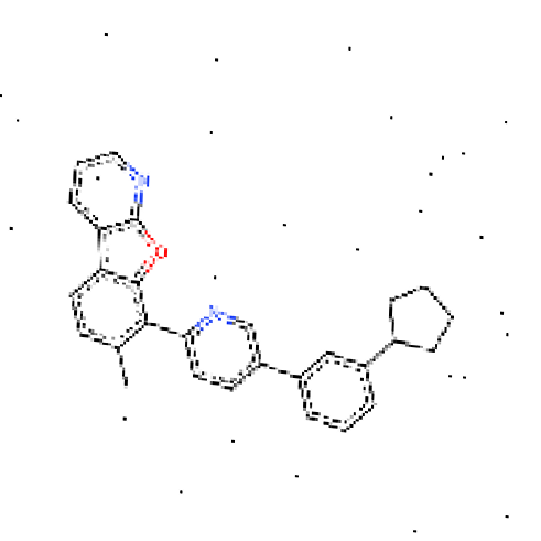 Cc1ccc2c(oc3ncccc32)c1-c1ccc(-c2cccc(C3CCCC3)c2)cn1